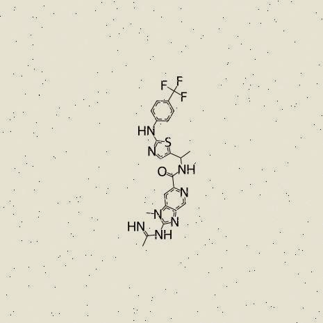 CC(=N)Nc1nc2cnc(C(=O)NC(C)c3cnc(Nc4ccc(C(F)(F)F)cc4)s3)cc2n1C